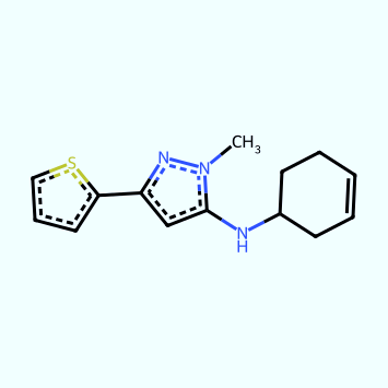 Cn1nc(-c2cccs2)cc1NC1CC=CCC1